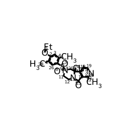 CCOc1cc(C)c(S(=O)(=O)N2CCN3C(=O)c4c(ccnc4C)C3(C)C2)cc1C